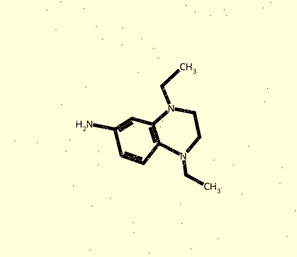 CCN1CCN(CC)c2cc(N)ccc21